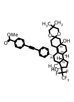 COC(=O)c1ccc(C#Cc2ccc([C@H]3C[C@@]4(C)[C@@H](CC[C@@]4(O)C(F)(F)C(F)(F)F)[C@@H]4CC[C@@]5(O)CC6(CCC5=C43)OCC(C)(C)CO6)cc2)cc1